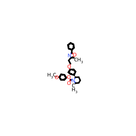 COc1ccc(OC(=O)N2[C@H](C)CCC[C@@H]2c2ccc(OCCc3nc(-c4ccccc4)oc3C)cc2)cc1